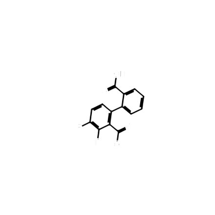 O=C(O)c1ccccc1-c1ccc(F)c(F)c1C(=O)O